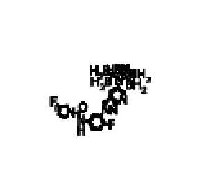 BC(B)(B)N(c1cnc2nn(-c3cc(NC(=O)N4CC[C@@H](F)C4)ccc3F)cc2c1)C(B)(B)B